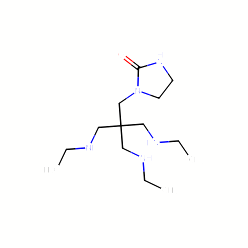 CCNCC(CNCC)(CNCC)CN1CCNC1=O